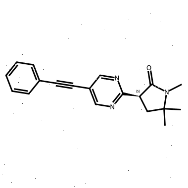 CN1C(=O)[C@H](c2ncc(C#Cc3ccccc3)cn2)CC1(C)C